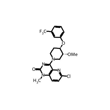 CO[C@@H]1CN(c2nc(=O)n(C)c3ccc(Cl)nc23)CC[C@H]1Oc1cccc(C(F)(F)F)c1